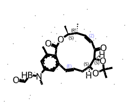 Cc1cc(N(C)BC=O)cc2c1C(=O)O[C@@H](C)[C@H](C)/C=C\C(=O)[C@H]1OC(C)(C)O[C@H]1C/C=C/2